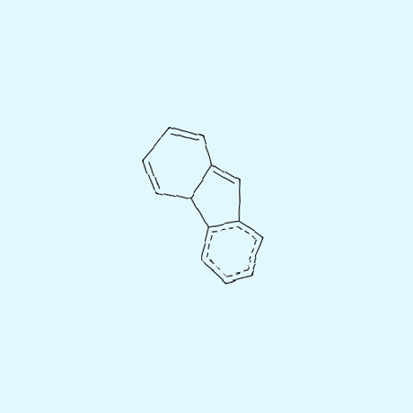 C1=CC2=Cc3ccccc3C2C=C1